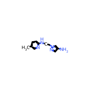 Cc1ccc(NCCn2cc(N)cn2)nc1